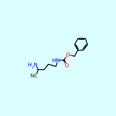 N#CC(N)CCCNC(=O)OCc1ccccc1